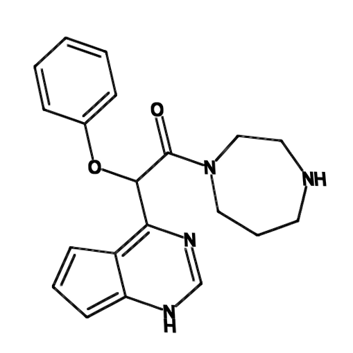 O=C(C(Oc1ccccc1)c1nc[nH]c2cccc1-2)N1CCCNCC1